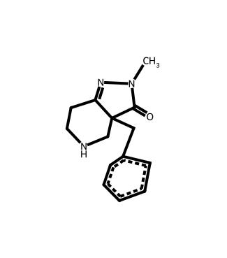 CN1N=C2CCNCC2(Cc2ccccc2)C1=O